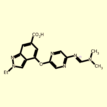 CCn1cc2c(Oc3cnc(/N=C/N(C)C)cn3)cc(C(=O)O)cc2n1